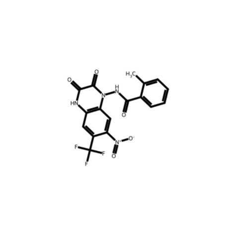 Cc1ccccc1C(=O)Nn1c(=O)c(=O)[nH]c2cc(C(F)(F)F)c([N+](=O)[O-])cc21